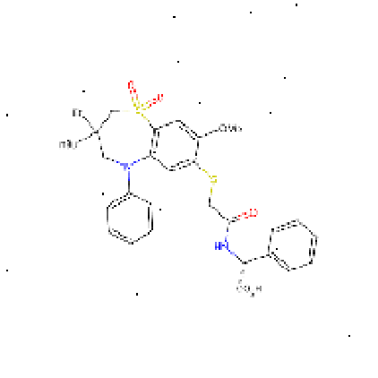 CCCCC1(CC)CN(c2ccccc2)c2cc(SCC(=O)N[C@@H](C(=O)O)c3ccccc3)c(OC)cc2S(=O)(=O)C1